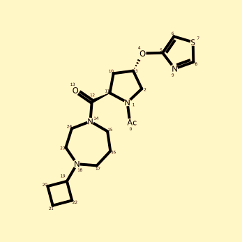 CC(=O)N1C[C@@H](Oc2cscn2)C[C@@H]1C(=O)N1CCCN(C2CCC2)CC1